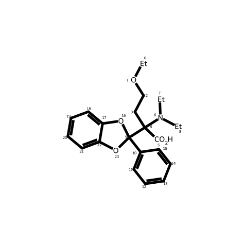 CCOCCC(C(=O)O)(N(CC)CC)C1(c2ccccc2)Oc2ccccc2O1